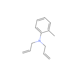 C=CCN(CC=C)c1ccccc1C